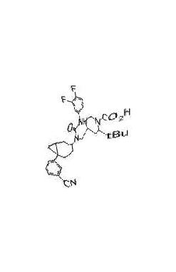 CC(C)(C)C1CC(CN(C(=O)Nc2ccc(F)c(F)c2)C2CCC3(c4cccc(C#N)c4)CC3C2)CCN1C(=O)O